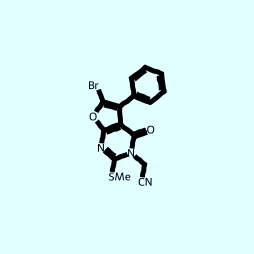 CSc1nc2oc(Br)c(-c3ccccc3)c2c(=O)n1CC#N